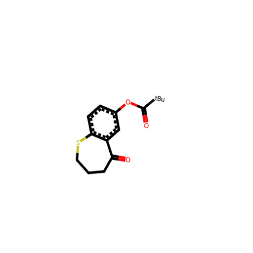 CC(C)(C)C(=O)Oc1ccc2c(c1)C(=O)CCCS2